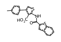 Cc1ccc(-c2csc(NC(=O)c3cc4ccccc4s3)c2C(=O)O)cc1